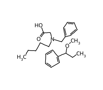 CCC(OC)c1ccccc1.CCCCCN(CC(=O)O)Cc1ccccc1